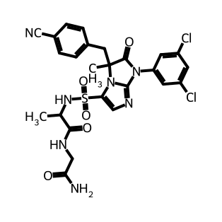 CC(NS(=O)(=O)c1cnc2n1C(C)(Cc1ccc(C#N)cc1)C(=O)N2c1cc(Cl)cc(Cl)c1)C(=O)NCC(N)=O